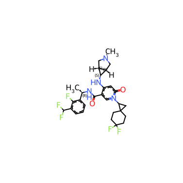 C[C@@H](NC(=O)c1cn(C2CC23CCC(F)(F)CC3)c(=O)cc1N[C@H]1[C@@H]2CN(C)C[C@@H]21)c1cccc(C(F)F)c1F